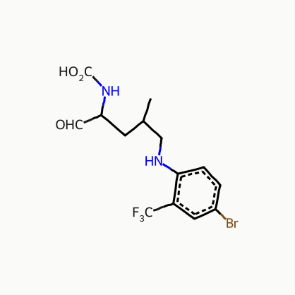 CC(CNc1ccc(Br)cc1C(F)(F)F)CC(C=O)NC(=O)O